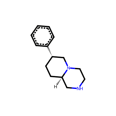 c1ccc([C@H]2CC[C@@H]3CNCCN3C2)cc1